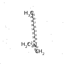 C=CCN(CC=C)CCCCCCCCCCCCCCCC